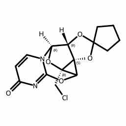 O=c1ccn2c(n1)OC1[C@@]3(CCl)O[C@@H]2[C@@H]2OC4(CCCC4)O[C@@]123